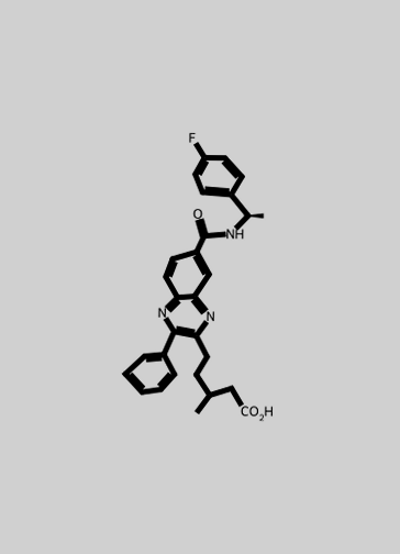 CC(CCc1nc2cc(C(=O)N[C@H](C)c3ccc(F)cc3)ccc2nc1-c1ccccc1)CC(=O)O